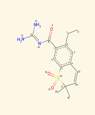 CCc1cc2c(cc1C(=O)N=C(N)N)S(=O)(=O)C(C)(C)C=C2